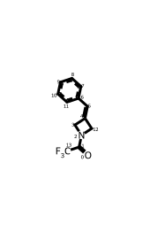 O=C(N1CC(=Cc2ccccc2)C1)C(F)(F)F